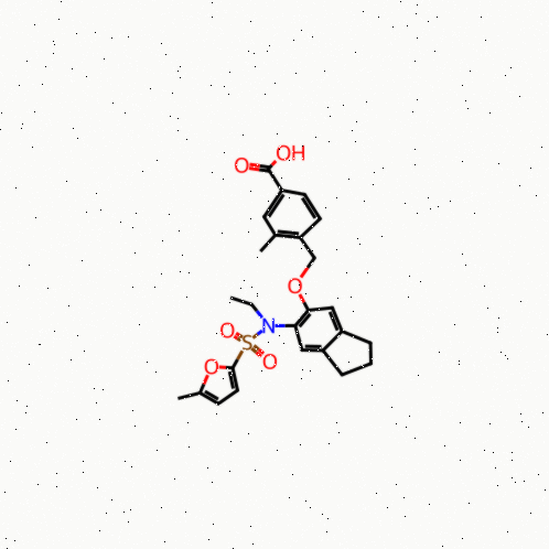 CCN(c1cc2c(cc1OCc1ccc(C(=O)O)cc1C)CCC2)S(=O)(=O)c1ccc(C)o1